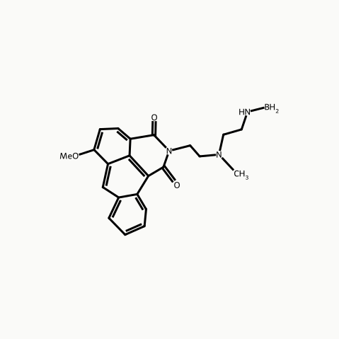 BNCCN(C)CCN1C(=O)c2ccc(OC)c3cc4ccccc4c(c23)C1=O